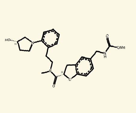 COC(=O)NCc1ccc2c(c1)C[C@@H](C(=O)N(C)CCc1ccccc1N1CC[C@H](O)C1)O2